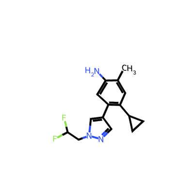 Cc1cc(C2CC2)c(-c2cnn(CC(F)F)c2)cc1N